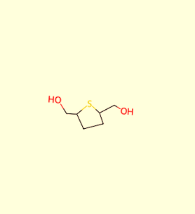 OCC1CCC(CO)S1